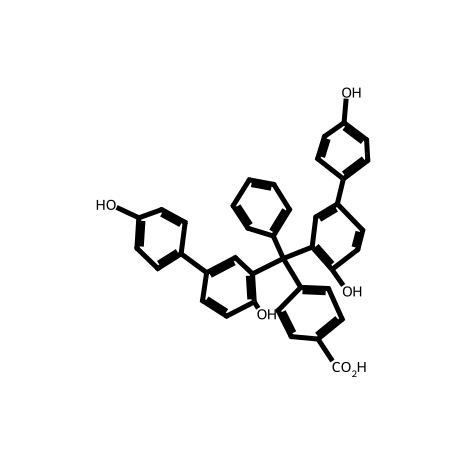 O=C(O)c1ccc(C(c2ccccc2)(c2cc(-c3ccc(O)cc3)ccc2O)c2cc(-c3ccc(O)cc3)ccc2O)cc1